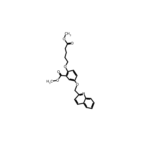 COC(=O)CCCCOc1ccc(OCc2ccc3ccccc3n2)cc1C(=O)OC